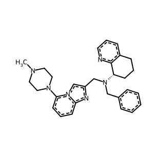 CN1CCN(c2cccc3nc(CN(Cc4ccccc4)[C@H]4CCCc5cccnc54)cn23)CC1